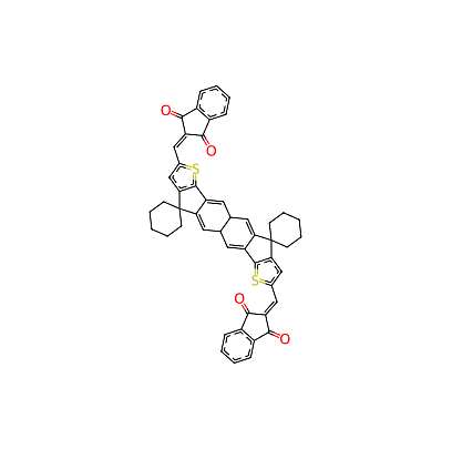 O=C1C(=Cc2cc3c(s2)C2=CC4C=C5C(=CC4C=C2C32CCCCC2)c2sc(C=C3C(=O)c4ccccc4C3=O)cc2C52CCCCC2)C(=O)c2ccccc21